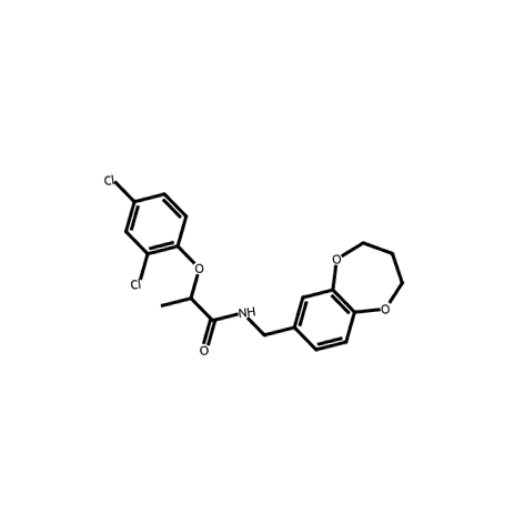 CC(Oc1ccc(Cl)cc1Cl)C(=O)NCc1ccc2c(c1)OCCCO2